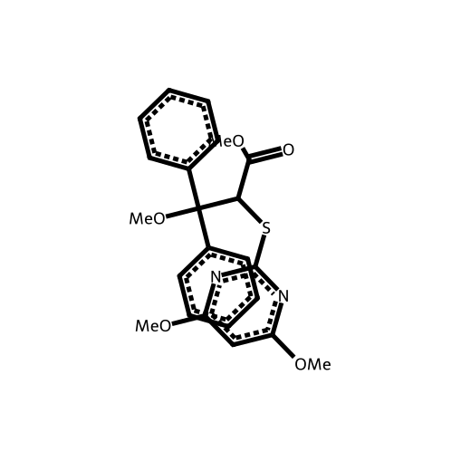 COC(=O)C(Sc1nc(OC)cc(OC)n1)C(OC)(c1ccccc1)c1ccccc1